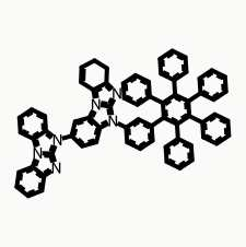 C1=Cc2c(nc3n(-c4cccc(-c5c(-c6ccccc6)c(-c6ccccc6)c(-c6ccccc6)c(-c6ccccc6)c5-c5ccccc5)c4)c4ccc(-n5c6ccccc6n6c7ccccc7nc56)cc4n23)CC1